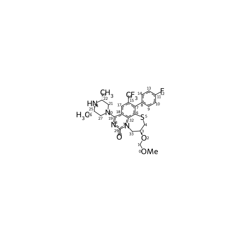 COCO[C@@H]1CSc2c(-c3ccc(F)cc3)c(C(F)(F)F)cc3c(N4C[C@@H](C)N[C@@H](C)C4)nc(=O)n(c23)C1